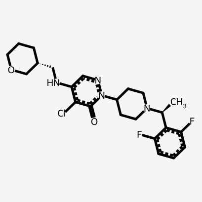 C[C@@H](c1c(F)cccc1F)N1CCC(n2ncc(NC[C@H]3CCCOC3)c(Cl)c2=O)CC1